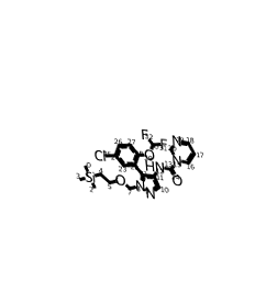 C[Si](C)(C)CCOCn1ncc(NC(=O)N2C=CC=NC2)c1-c1cc(Cl)ccc1OC(F)F